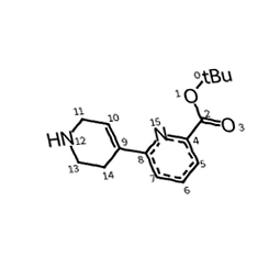 CC(C)(C)OC(=O)c1cccc(C2=CCNCC2)n1